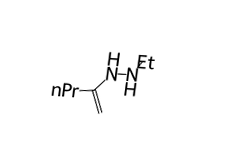 C=C(CCC)NNCC